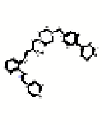 OC(COc1ccccc1/C=C/c1ccncc1)CN1CCN(Cc2ccc(C3CCCCC3)cc2)CC1